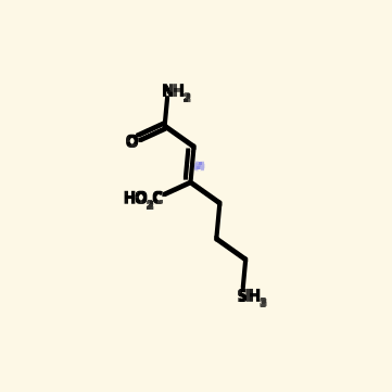 NC(=O)/C=C(/CCC[SiH3])C(=O)O